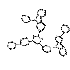 c1ccc(-c2ccc(-c3nc(-c4cccc(-n5c6ccccc6c6cc(-c7ccccc7)ccc65)c4)nc(-c4ccc5c6ccccc6n(-c6ccccc6)c5c4)n3)cc2)cc1